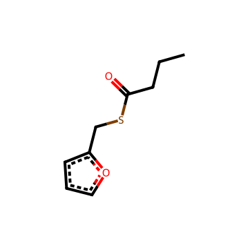 CCCC(=O)SCc1ccco1